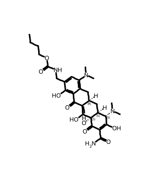 CCCCOC(=O)NCc1cc(N(C)C)c2c(c1O)C(=O)C1=C(O)[C@]3(O)C(=O)C(C(N)=O)=C(O)[C@@H](N(C)C)[C@@H]3C[C@@H]1C2